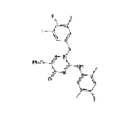 COc1cn(Cc2cc(F)c(F)c(F)c2)c(Nc2cc(C)c(F)cc2C)nc1=O